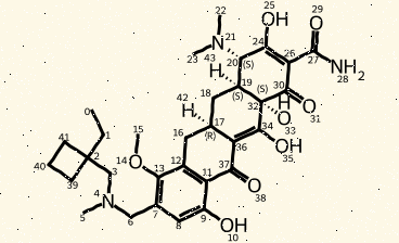 CCC1(CN(C)Cc2cc(O)c3c(c2OC)C[C@H]2C[C@H]4[C@H](N(C)C)C(O)=C(C(N)=O)C(=O)[C@@]4(O)C(O)=C2C3=O)CCC1